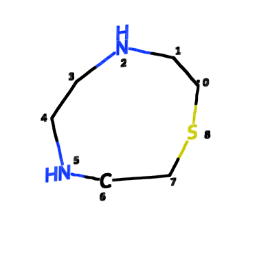 [CH]1CNCCNCCS1